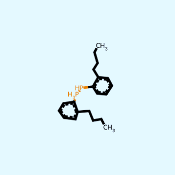 CCCCc1ccccc1P[PH3]c1ccccc1CCCC